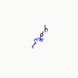 CCCc1ccnc(NC(=O)c2ccc(-c3nn([C@@H]4CCCN(C(=O)C=CCN(C)C)C4)c4ncnc(N)c34)cc2)c1